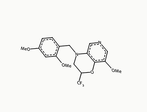 COc1ccc(CN2CC(C(F)(F)F)Oc3c(OC)cncc32)c(OC)c1